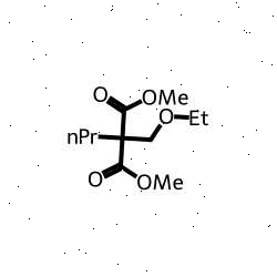 CCCC(COCC)(C(=O)OC)C(=O)OC